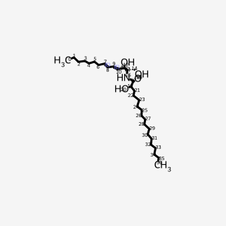 CCCCCCC/C=C/C=C/[C@@H](O)[C@H](CO)NC(=O)C(O)CCCCCCCCCCCCCCCC